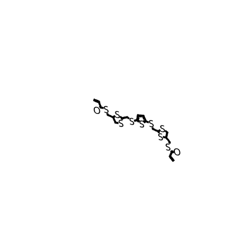 C=CC(=O)SCC1CSC(CSc2ccc(SCC3SCC(CSC(=O)C=C)S3)s2)S1